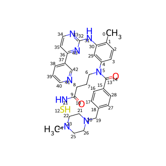 Cc1ccc(N(CCCC(=O)NS)C(=O)c2ccc(CN3CCN(C)CC3)cc2)cc1Nc1nccc(-c2cccnc2)n1